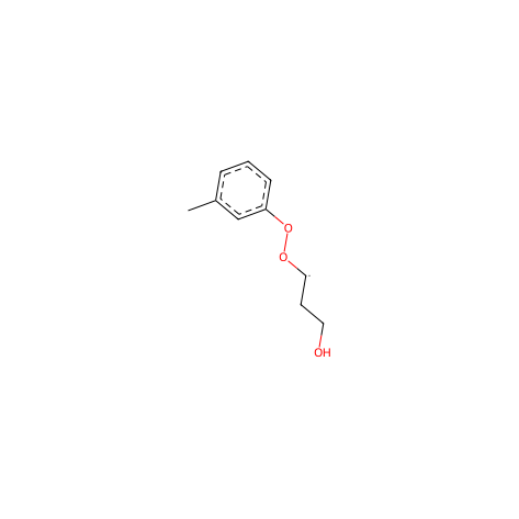 Cc1cccc(OO[CH]CCO)c1